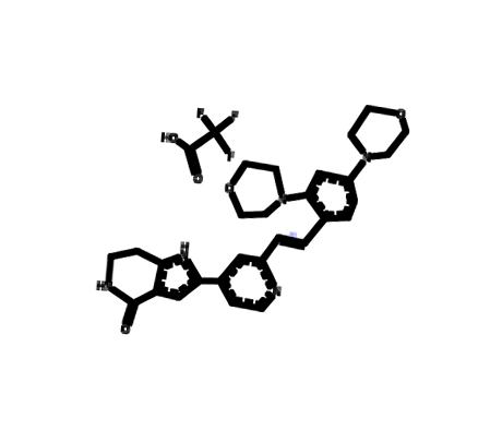 O=C(O)C(F)(F)F.O=C1NCCc2[nH]c(-c3ccnc(/C=C/c4ccc(N5CCOCC5)cc4N4CCOCC4)c3)cc21